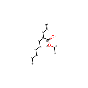 C=CCC(CCCCCC)C(=O)OCC